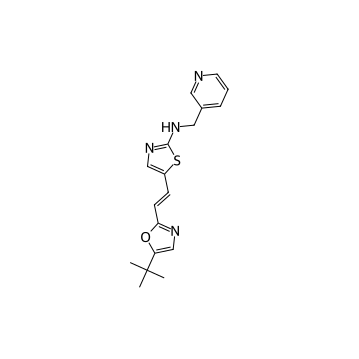 CC(C)(C)c1cnc(C=Cc2cnc(NCc3cccnc3)s2)o1